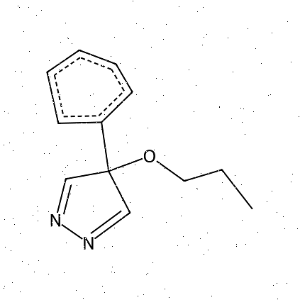 CCCOC1(c2ccccc2)C=NN=C1